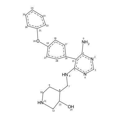 Nc1ncnc(NCC2CCNCC2O)c1-c1ccc(Oc2ccccc2)cc1